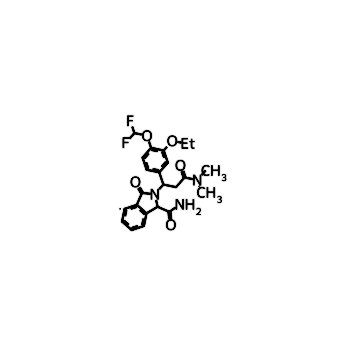 CCOc1cc(C(CC(=O)N(C)C)N2C(=O)c3[c]cccc3C2C(N)=O)ccc1OC(F)F